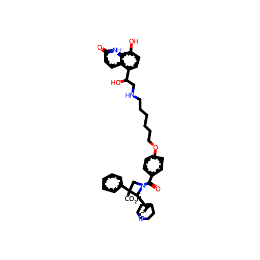 O=C(c1ccc(OCCCCCCNCC(O)c2ccc(O)c3[nH]c(=O)ccc23)cc1)N1CC(C(=O)O)(c2ccccc2)C1C1CN2CCC1CC2